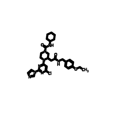 CCOc1ccc(CNC(=O)CC2CN(C(=O)NC3CCCCC3)CCN2c2cc(Cl)nc(-n3ccnc3)n2)cc1